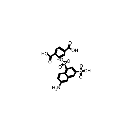 Nc1ccc2c(S(=O)(=O)O)cc(S(=O)(=O)O)cc2c1.O=C(O)c1ccc(C(=O)O)cc1